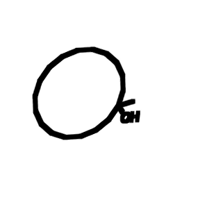 CC1(O)CCCCCCCCCCCCCCCCC1